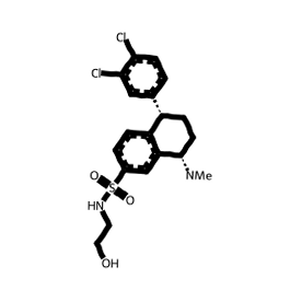 CN[C@H]1CC[C@@H](c2ccc(Cl)c(Cl)c2)c2ccc(S(=O)(=O)NCCO)cc21